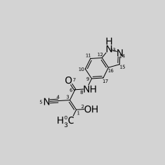 CC(O)=C(C#N)C(=O)Nc1ccc2[nH]ncc2c1